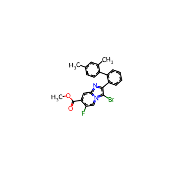 COC(=O)c1cc2nc(-c3ccccc3-c3ccc(C)cc3C)c(Br)n2cc1F